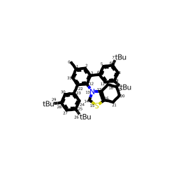 Cc1cc(-c2cc(C(C)(C)C)cc(C(C)(C)C)c2)c(N2CSC3=C2CCCC3)c(-c2cc(C(C)(C)C)cc(C(C)(C)C)c2)c1